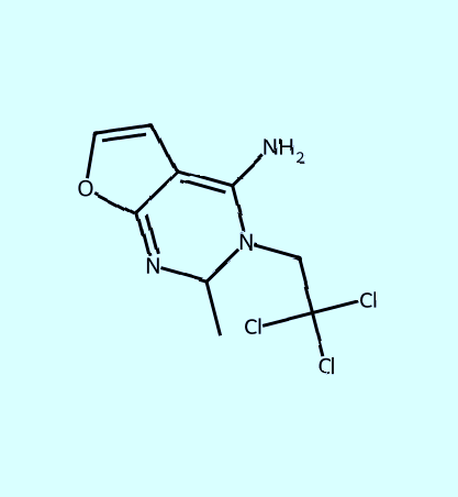 CC1N=c2occc2=C(N)N1CC(Cl)(Cl)Cl